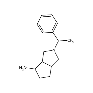 NC1CCC2CN(C(c3ccccc3)C(F)(F)F)CC12